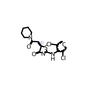 O=C1N=C(Nc2c(Cl)cccc2Cl)S/C1=C/C(=O)N1CCCCC1